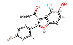 CNC(=O)c1c(-c2ccc(Br)cc2)oc2ccc(O)c(F)c12